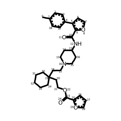 Cc1ccc(-c2ccoc2C(=O)NC2CCN(CCC3(CCOC(=O)c4ccco4)CCCCC3)CC2)cc1